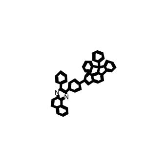 c1ccc(-c2nc3ccc4ccccc4c3nc2-c2ccc(-c3ccc4c5c(ccc4c3)-c3ccccc3C5(c3ccccc3)c3ccccc3)cc2)cc1